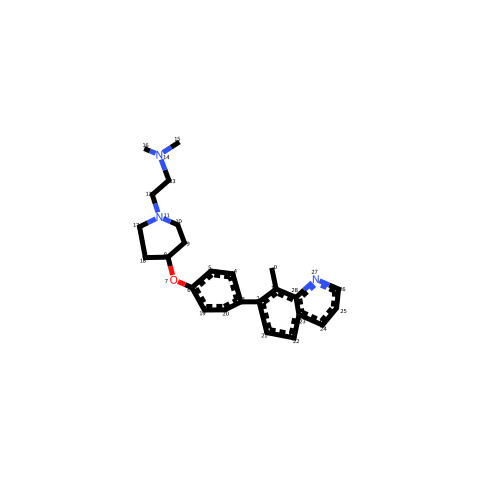 Cc1c(-c2ccc(OC3CCN(CCN(C)C)CC3)cc2)ccc2cccnc12